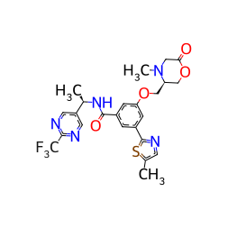 Cc1cnc(-c2cc(OC[C@@H]3COC(=O)CN3C)cc(C(=O)N[C@H](C)c3cnc(C(F)(F)F)nc3)c2)s1